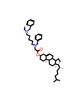 CCN(CCCCCN(CC(=O)OC1CC[C@@]2(C)C(=CCC3C2CC[C@@]2(C)C3CC[C@@H]2[C@H](C)CCCC(C)C)C1)Cc1ccccc1)Cc1ccccc1